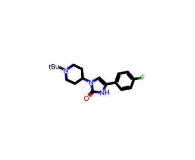 CC(C)(C)N1CCC(n2cc(-c3ccc(F)cc3)[nH]c2=O)CC1